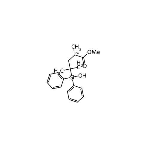 COC(=O)[C@@H](C)CC(C)(C)[Si](O)(c1ccccc1)c1ccccc1